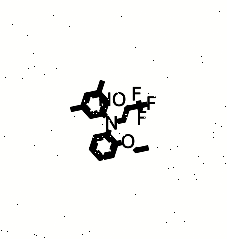 CCOc1ccccc1N(CC(O)C(F)(F)F)c1cc(C)cc(C)c1